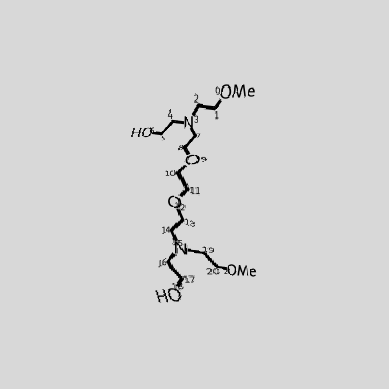 COCCN(CCO)CCOCCOCCN(CCO)CCOC